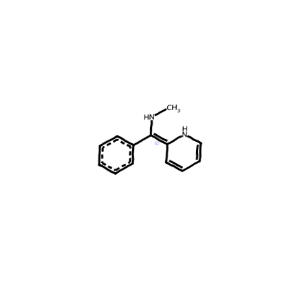 CN/C(=C1/C=CC=CN1)c1ccccc1